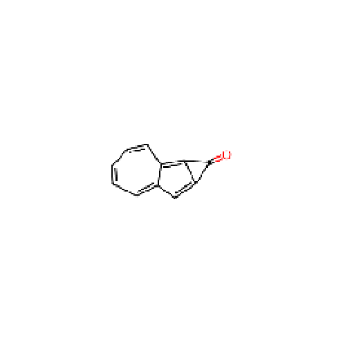 O=c1c2cc3cccccc-3c12